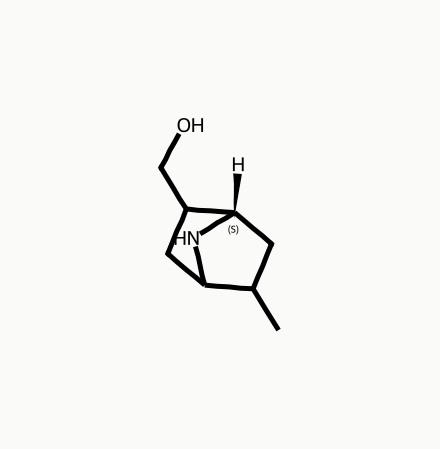 CC1C[C@@H]2NC1CC2CO